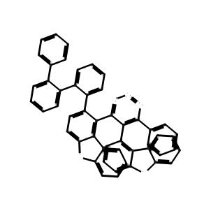 c1ccc(-c2ccccc2-c2ccccc2-c2ccc3sc4ccccc4c3c2-c2nnnc(-c3ccccc3)c2-c2cccc3sc4ccccc4c23)cc1